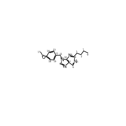 CCCCc1ncc2ncn(Cc3ccc(OC)cc3)c2n1